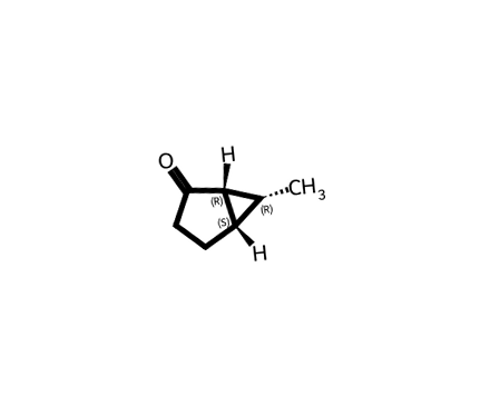 C[C@@H]1[C@@H]2CCC(=O)[C@H]12